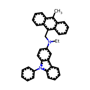 CCN(Cc1c2ccccc2c(C)c2ccccc12)c1ccc2c(c1)c1ccccc1n2-c1ccccc1